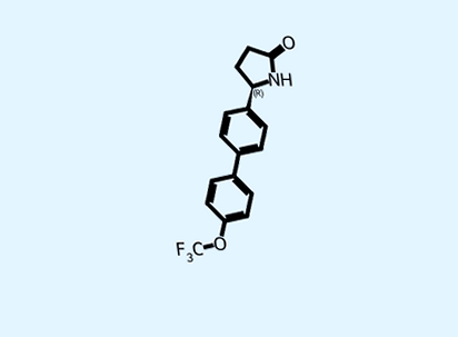 O=C1CC[C@H](c2ccc(-c3ccc(OC(F)(F)F)cc3)cc2)N1